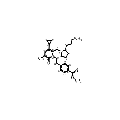 CCCC[C@H]1CCCN1Cc1c(C2CC2)cc(Cl)c(=O)n1CCc1ccc(C(=O)OC)cc1